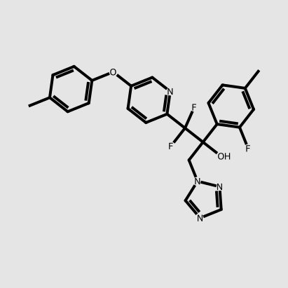 Cc1ccc(Oc2ccc(C(F)(F)C(O)(Cn3cncn3)c3ccc(C)cc3F)nc2)cc1